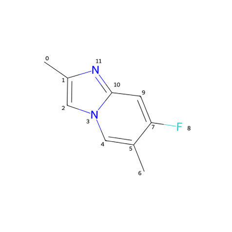 Cc1cn2cc(C)c(F)cc2n1